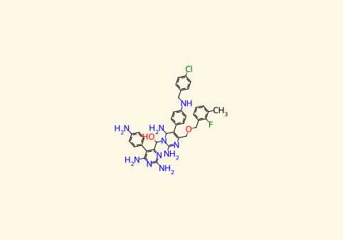 Cc1cccc(COCC2=C(c3ccc(NCc4ccc(Cl)cc4)cc3)C(N)N(C(O)c3nc(N)nc(N)c3-c3ccc(N)cc3)C(N)=N2)c1F